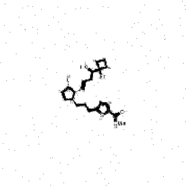 CCC1(C(O)C/C=C/[C@@H]2[C@@H](CCCc3ccc(C(=O)OC)s3)CC[C@@H]2F)CCC1